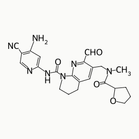 CN(Cc1cc2c(nc1C=O)N(C(=O)Nc1cc(N)c(C#N)cn1)CCC2)C(=O)C1CCCO1